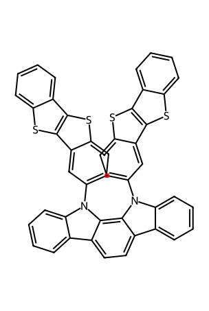 c1ccc2c(c1)sc1c3cc(-n4c5ccccc5c5ccc6c7ccccc7n(-c7ccc8sc9c%10ccccc%10sc9c8c7)c6c54)ccc3sc21